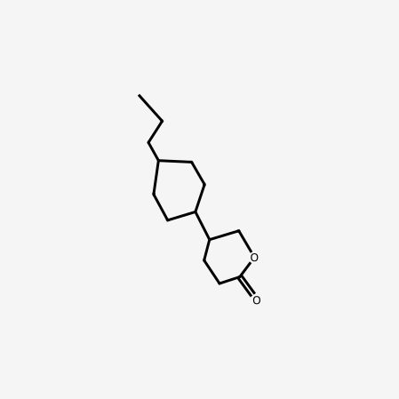 CCCC1CCC(C2CCC(=O)OC2)CC1